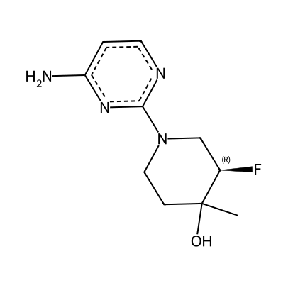 CC1(O)CCN(c2nccc(N)n2)C[C@H]1F